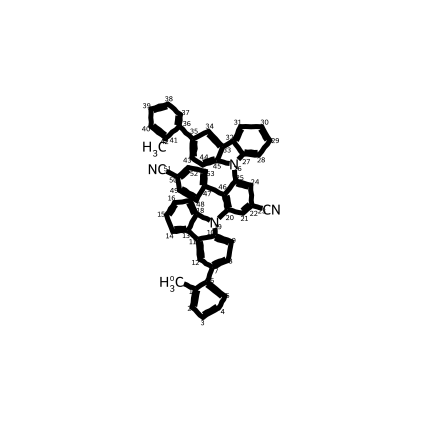 Cc1ccccc1-c1ccc2c(c1)c1ccccc1n2-c1cc(C#N)cc(-n2c3ccccc3c3cc(-c4ccccc4C)ccc32)c1-c1ccc(C#N)cc1